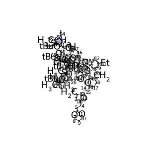 C=C1C[C@H](CCC2OCCCO2)O[C@H]1CC[C@H]1CCC(=C)[C@@H](C[C@@H]2O[C@H](C[C@@H](CO[Si](C)(C)C(C)(C)C)O[Si](C)(C)C(C)(C)C)C[C@H]2C(C(=O)C[C@H]2CC[C@@H]3OC(C(/C=C/I)O[Si](C)(C)C(C)(C)C)C(O[Si](C)(C)C(C)(C)C)C(O[Si](C)(C)C(C)(C)C)C3O2)S(=O)(=O)c2ccc(CC)cc2)O1